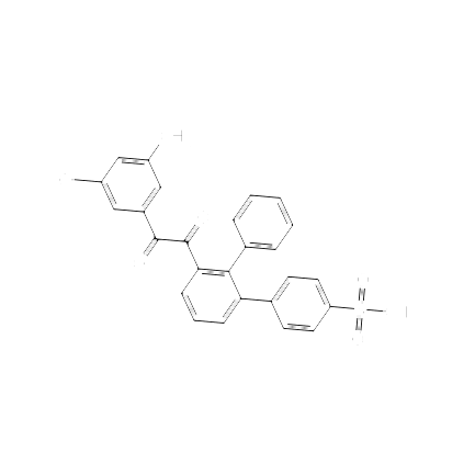 Cc1cc(Cl)cc(C(=O)C(=O)c2cccc(-c3ccc(S(C)(=O)=O)cc3)c2-c2ccccc2)c1